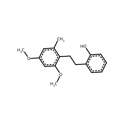 COc1cc(C)c(CCc2ccccc2O)c(OC)c1